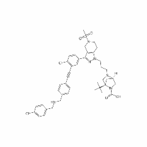 CC(C)(C)[C@@]12C[C@H](CN1C(=O)O)N(CCCn1nc(-c3ccc(Cl)c(C#Cc4ccc(CNCc5ccc(Cl)cc5)cc4)c3)c3c1CCN(S(C)(=O)=O)C3)C2